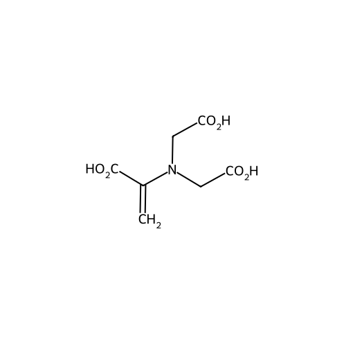 C=C(C(=O)O)N(CC(=O)O)CC(=O)O